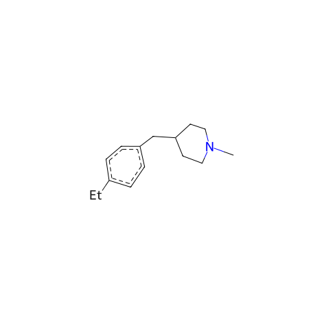 CCc1ccc(CC2CCN(C)CC2)cc1